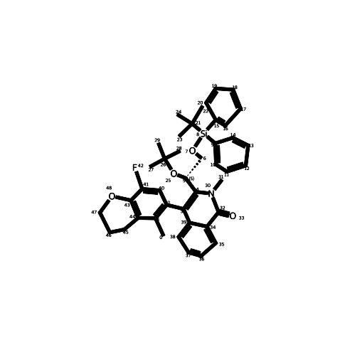 Cc1c(-c2c([C@@H](CO[Si](c3ccccc3)(c3ccccc3)C(C)(C)C)OC(C)(C)C)n(C)c(=O)c3ccccc23)cc(F)c2c1CCCO2